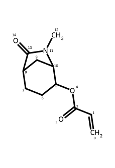 C=CC(=O)OC1CCC2CC1N(C)C2=O